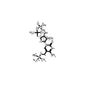 CCC(C)(C[C@H]1O[C@@H](n2cc(CO[Si](C)(C)C(C)(C)C)c(N)nc2=O)[C@H](O)[C@@H]1O)OP(=O)(O)O